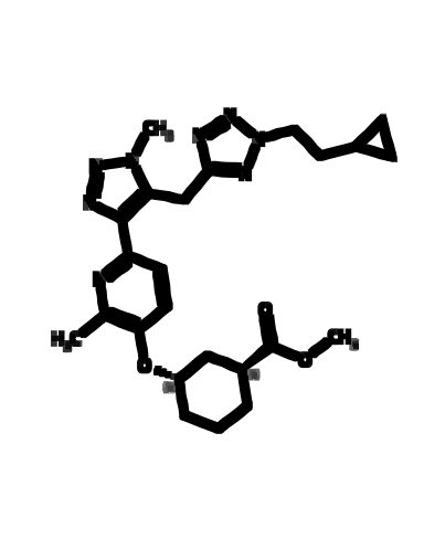 COC(=O)[C@H]1CCC[C@H](Oc2ccc(-c3nnn(C)c3Cc3nnn(CCC4CC4)n3)nc2C)C1